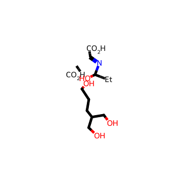 CC(=O)O.CCC(O)N=CC(=O)O.OCCCC(CO)CO